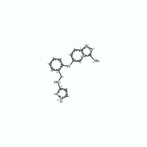 CC(C)(C)c1nnc2ccc(Sc3ccccc3CNc3cc[nH]n3)cn12